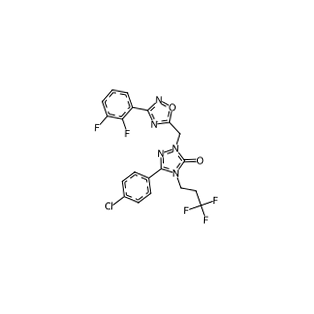 O=c1n(Cc2nc(-c3cccc(F)c3F)no2)nc(-c2ccc(Cl)cc2)n1CCC(F)(F)F